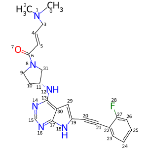 CN(C)C/C=C/C(=O)N1CC[C@@H](Nc2ncnc3[nH]c(C#Cc4ccccc4F)cc23)C1